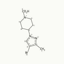 Cc1nn(C2CCN(C(=O)O)CC2)cc1Br